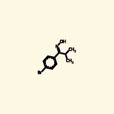 CC(C)C(=NO)c1ccc(Br)cc1